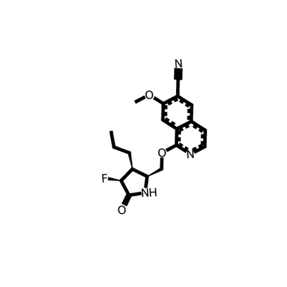 CCC[C@@H]1[C@H](F)C(=O)N[C@@H]1COc1nccc2cc(C#N)c(OC)cc12